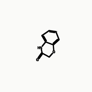 O=C1COc2c[c]ccc2N1